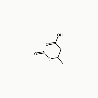 CC(CC(=O)O)SN=O